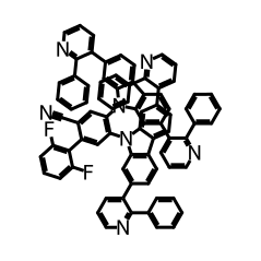 N#Cc1cc(-n2c3cc(-c4cccnc4-c4ccccc4)ccc3c3ccc(-c4cccnc4-c4ccccc4)cc32)c(-n2c3cc(-c4cccnc4-c4ccccc4)ccc3c3ccc(-c4cccnc4-c4ccccc4)cc32)cc1-c1c(F)cccc1F